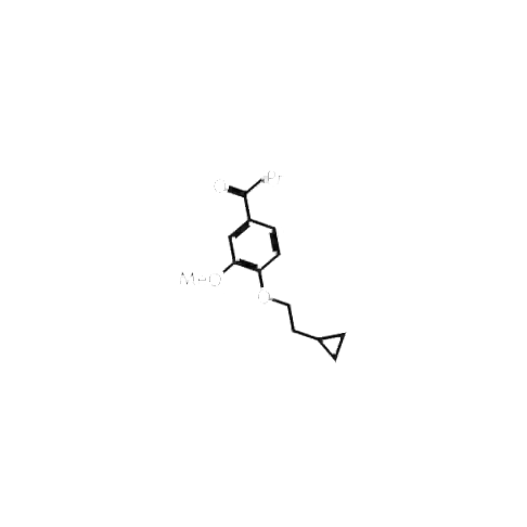 COc1cc(C(=O)C(C)C)ccc1OCCC1CC1